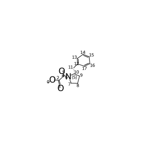 COC(=O)C(=O)N1CCC[C@H]1Cc1ccccc1